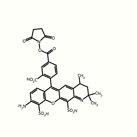 CC1CC(C)(C)N=c2c1cc1c(c2S(=O)(=O)O)Oc2c(ccc(N)c2S(=O)(=O)O)C=1c1ccc(C(=O)ON2C(=O)CCC2=O)cc1C(=O)O